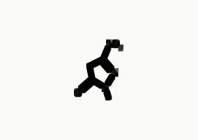 CN1N=C([N+](=O)[O-])CC1=O